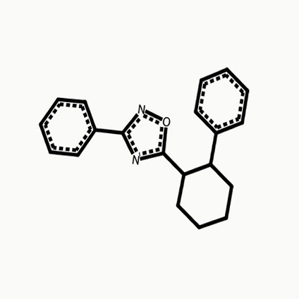 c1ccc(-c2noc(C3CCCCC3c3ccccc3)n2)cc1